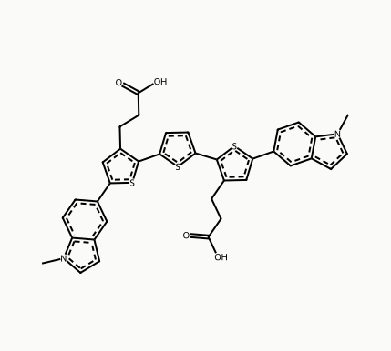 Cn1ccc2cc(-c3cc(CCC(=O)O)c(-c4ccc(-c5sc(-c6ccc7c(ccn7C)c6)cc5CCC(=O)O)s4)s3)ccc21